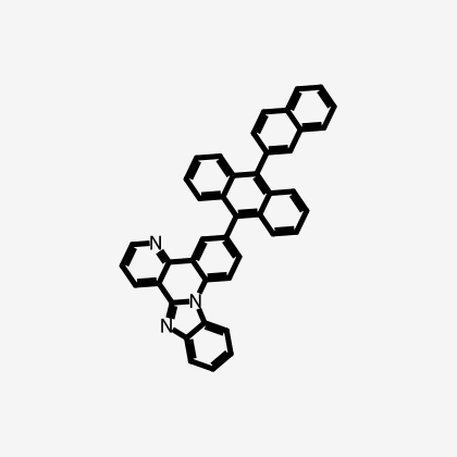 c1ccc2cc(-c3c4ccccc4c(-c4ccc5c(c4)c4ncccc4c4nc6ccccc6n54)c4ccccc34)ccc2c1